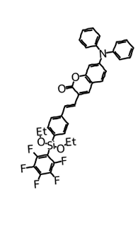 CCO[Si](OCC)(c1ccc(/C=C/c2cc3ccc(N(c4ccccc4)c4ccccc4)cc3oc2=O)cc1)c1c(F)c(F)c(F)c(F)c1F